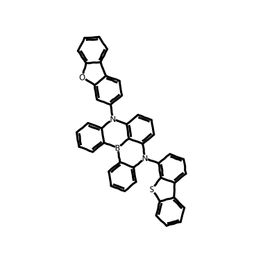 c1ccc2c(c1)B1c3ccccc3N(c3cccc4c3sc3ccccc34)c3cccc(c31)N2c1ccc2c(c1)oc1ccccc12